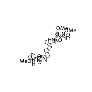 COC[C@H]1C[C@@H](c2ncc(-c3sc(-c4ccc5c(ccc6nc([C@@H]7CCCN7C(=O)[C@@H](NC(=O)OC)C(C)C)[nH]c65)c4)c4c3CCC4)[nH]2)N(C(=O)[C@@H](NC(=O)OC)C(C)C)C1